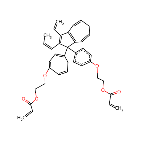 C=CC(=O)OCCOC1=CC=C(C2(c3ccc(OCCOC(=O)C=C)cc3)C3=C(C=CCC=C3)C(C=C)=C2/C=C\C)CC=C1